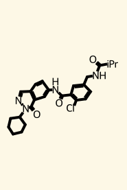 CC(C)C(=O)NCc1ccc(Cl)c(C(=O)Nc2ccc3cnn(C4CCCCC4)c(=O)c3c2)c1